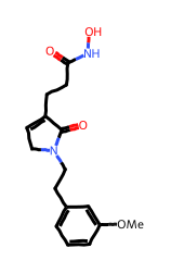 COc1cccc(CCN2CC=C(CCC(=O)NO)C2=O)c1